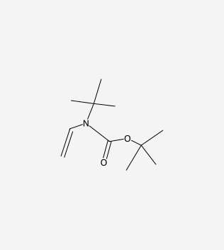 C=CN(C(=O)OC(C)(C)C)C(C)(C)C